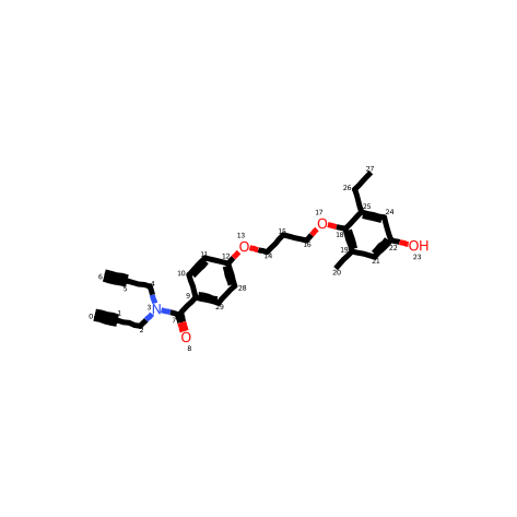 C#CCN(CC#C)C(=O)c1ccc(OCCCOc2c(C)cc(O)cc2CC)cc1